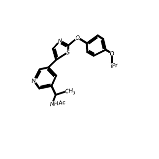 CC(=O)NC(C)c1cncc(-c2cnc(Oc3ccc(OC(C)C)cc3)s2)c1